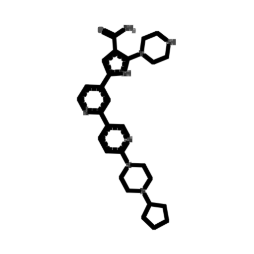 NC(=O)c1cc(-c2ccnc(-c3ccc(N4CCN(C5CCCC5)CC4)nc3)c2)[nH]c1N1CCNCC1